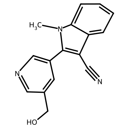 Cn1c(-c2cncc(CO)c2)c(C#N)c2ccccc21